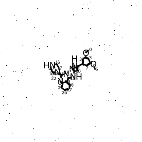 COc1cc(OC)cc(-c2cc(Nc3nc(N4CCNC[C@H]4C)nc4ccccc34)n[nH]2)c1